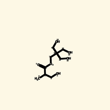 CC(CO)C(=O)OCC(CO)(CO)CO